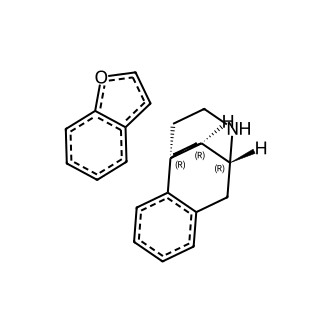 c1ccc2c(c1)C[C@H]1NCC[C@@]23CCCC[C@@H]13.c1ccc2occc2c1